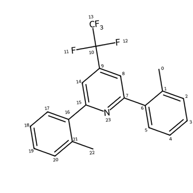 Cc1ccccc1-c1cc(C(F)(F)C(F)(F)F)cc(-c2ccccc2C)n1